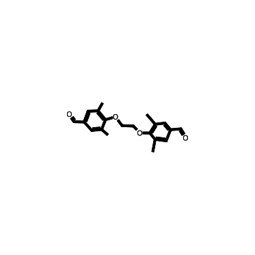 Cc1cc(C=O)cc(C)c1OCCOc1c(C)cc(C=O)cc1C